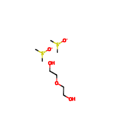 C[S+](C)[O-].C[S+](C)[O-].OCCOCCO